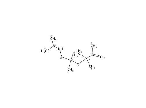 CC(=O)C(C)(C)CC(C)(C)CNC(C)C